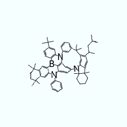 CC(C)CC(C)c1cc2c3cc1C(C)(C)c1cccc(c1)N1c4cc(C(C)(C)C)ccc4B4c5cc6c(cc5N(c5ccccc5)c5cc(cc1c54)N3C1(C)CCCCC21C)C(C)(C)CCC6(C)C